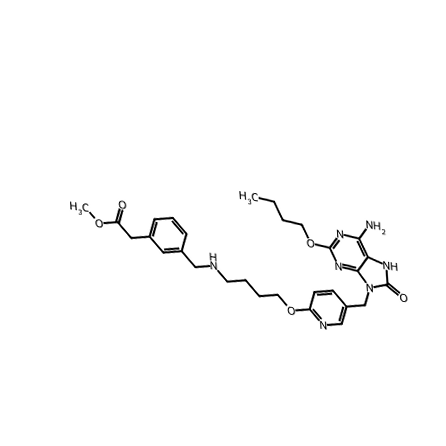 CCCCOc1nc(N)c2[nH]c(=O)n(Cc3ccc(OCCCCNCc4cccc(CC(=O)OC)c4)nc3)c2n1